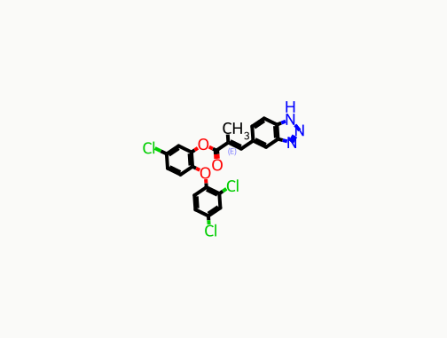 C/C(=C\c1ccc2[nH]nnc2c1)C(=O)Oc1cc(Cl)ccc1Oc1ccc(Cl)cc1Cl